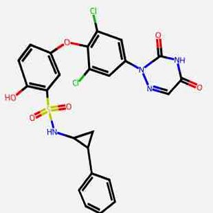 O=c1cnn(-c2cc(Cl)c(Oc3ccc(O)c(S(=O)(=O)NC4CC4c4ccccc4)c3)c(Cl)c2)c(=O)[nH]1